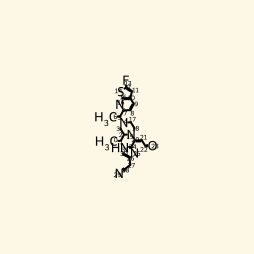 CCC1CN(C(C)c2ccc3cc(F)sc3n2)CCN1/C(=C/C=O)c1nc(CC#N)c[nH]1